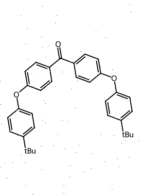 CC(C)(C)c1ccc(Oc2ccc(C(=O)c3ccc(Oc4ccc(C(C)(C)C)cc4)cc3)cc2)cc1